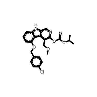 COCc1c(OC(=O)OC(C)C)ncc2[nH]c3cccc(OCc4ccc(Cl)cc4)c3c12